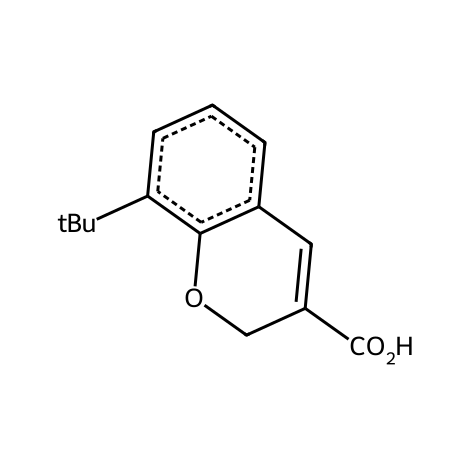 CC(C)(C)c1cccc2c1OCC(C(=O)O)=C2